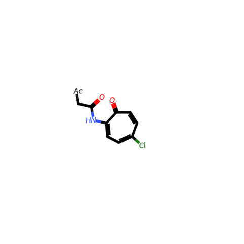 CC(=O)CC(=O)Nc1ccc(Cl)ccc1=O